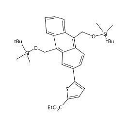 CCOC(=O)c1ccc(-c2ccc3c(CO[Si](C)(C)C(C)(C)C)c4ccccc4c(CO[Si](C)(C)C(C)(C)C)c3c2)s1